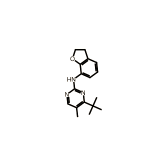 Cc1cnc(Nc2cccc3c2OCC3)nc1C(C)(C)C